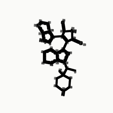 CC(n1nc(C2=C(c3c[nH]c4sccc34)C(=O)NC2=O)c2ccccc21)C1(C)CCNCC1